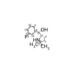 CC1(C)CC[C@@H]([C@@H](O)c2cccc(F)c2)N1